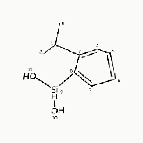 CC(C)c1ccccc1[SiH](O)O